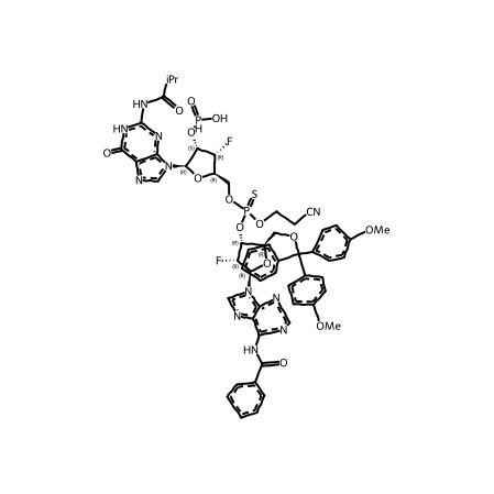 COc1ccc(C(OC[C@H]2O[C@@H](n3cnc4c(NC(=O)c5ccccc5)ncnc43)[C@H](F)[C@@H]2OP(=S)(OCCC#N)OC[C@H]2O[C@@H](n3cnc4c(=O)[nH]c(NC(=O)C(C)C)nc43)[C@H](O[PH](=O)O)[C@@H]2F)(c2ccccc2)c2ccc(OC)cc2)cc1